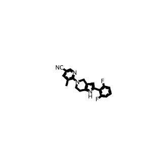 Cc1cc(C#N)cnc1N1CCc2[nH]c(-c3c(F)cccc3F)cc2C1